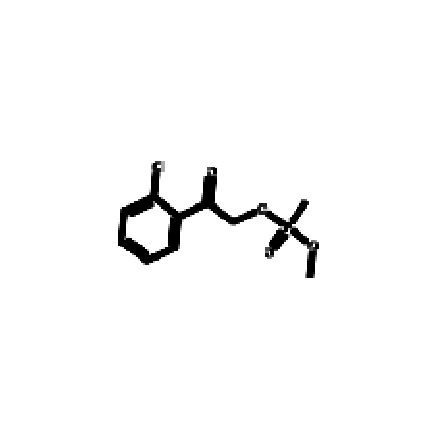 COP(C)(=O)OCC(=O)c1ccccc1Cl